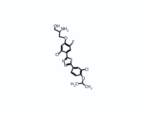 CC(C)Oc1ccc(-c2nnc(-c3cc(F)c(OC[C@H](N)CO)cc3Cl)s2)cc1Cl